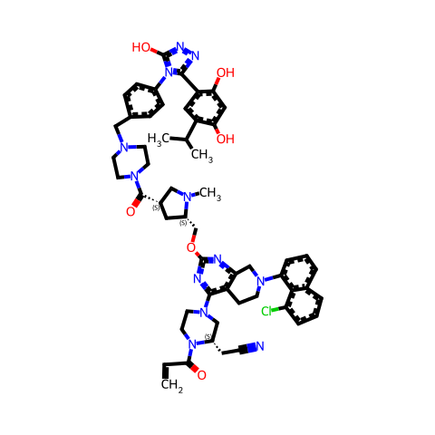 C=CC(=O)N1CCN(c2nc(OC[C@@H]3C[C@H](C(=O)N4CCN(Cc5ccc(-n6c(O)nnc6-c6cc(C(C)C)c(O)cc6O)cc5)CC4)CN3C)nc3c2CCN(c2cccc4cccc(Cl)c24)C3)C[C@@H]1CC#N